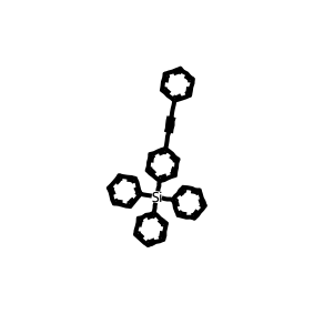 C(#Cc1ccc([Si](c2ccccc2)(c2ccccc2)c2ccccc2)cc1)c1ccccc1